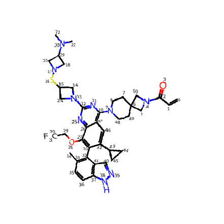 C=CC(=O)N1CC2(CCN(c3nc(N4CC(SN5CC(N(C)C)C5)C4)nc4c(OCC(F)(F)F)c(-c5c(C)ccc6[nH]ncc56)c(C5CC5)cc34)CC2)C1